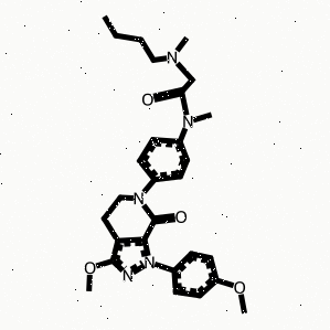 CCCCN(C)CC(=O)N(C)c1ccc(N2CCc3c(OC)nn(-c4ccc(OC)cc4)c3C2=O)cc1